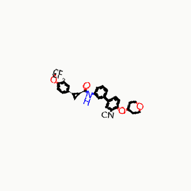 N#Cc1cc(-c2cccc(NC(=O)[C@H]3C[C@@H]3c3ccc(OC(F)(F)F)cc3)c2)ccc1OC1CCOCC1